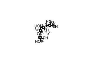 Cc1cc(C(C)(C(=O)O)c2ccc(OC(=O)c3ccc(C(=O)O)c(C(=O)O)c3)c(C)c2)ccc1OC(=O)c1ccc(C(=O)O)c(C(=O)O)c1